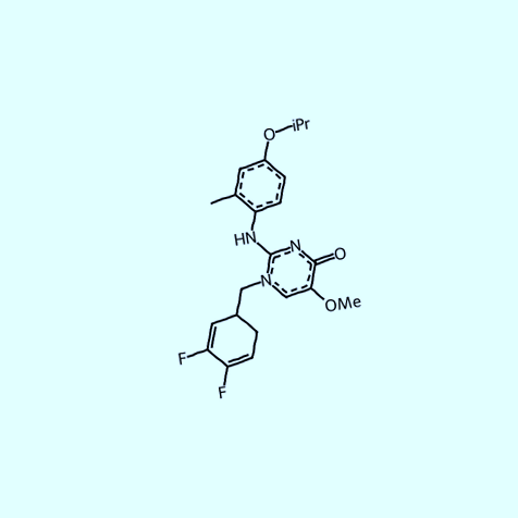 COc1cn(CC2C=C(F)C(F)=CC2)c(Nc2ccc(OC(C)C)cc2C)nc1=O